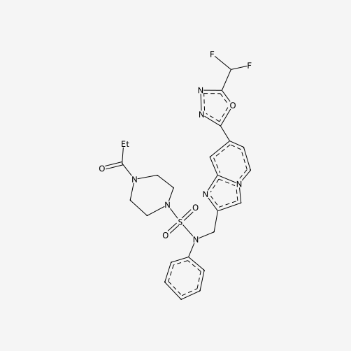 CCC(=O)N1CCN(S(=O)(=O)N(Cc2cn3ccc(-c4nnc(C(F)F)o4)cc3n2)c2ccccc2)CC1